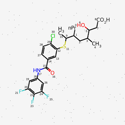 CCCC(CC(C)C(O)CC(=O)O)C(C)Sc1cc(C(=O)Nc2cc(F)c(F)c(F)c2)ccc1Cl